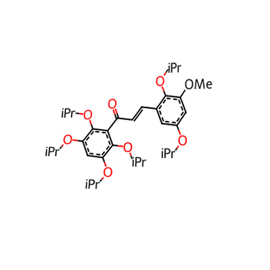 COc1cc(OC(C)C)cc(/C=C/C(=O)c2c(OC(C)C)c(OC(C)C)cc(OC(C)C)c2OC(C)C)c1OC(C)C